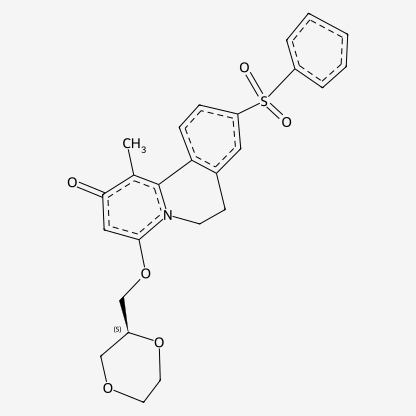 Cc1c2n(c(OC[C@@H]3COCCO3)cc1=O)CCc1cc(S(=O)(=O)c3ccccc3)ccc1-2